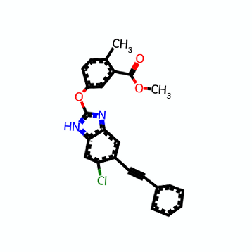 COC(=O)c1cc(Oc2nc3cc(C#Cc4ccccc4)c(Cl)cc3[nH]2)ccc1C